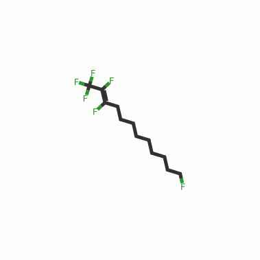 FCCCCCCCCCC(F)=C(F)C(F)(F)F